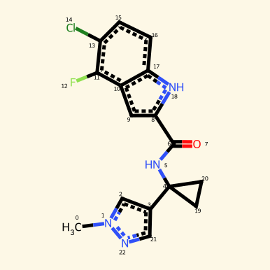 Cn1cc(C2(NC(=O)c3cc4c(F)c(Cl)ccc4[nH]3)CC2)cn1